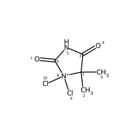 CC1(C)C(=O)NC(=O)[N+]1(Cl)Cl